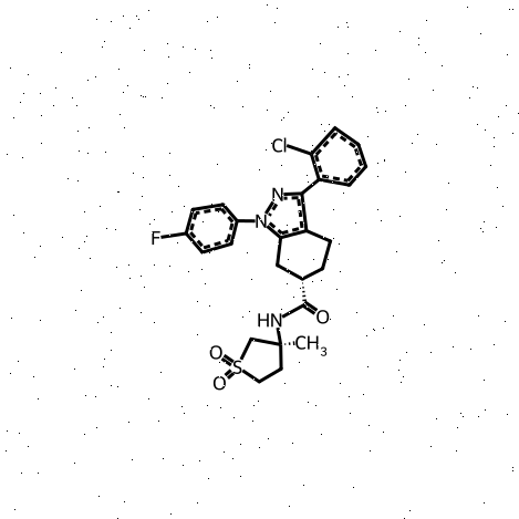 C[C@]1(NC(=O)[C@H]2CCc3c(-c4ccccc4Cl)nn(-c4ccc(F)cc4)c3C2)CCS(=O)(=O)C1